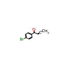 C=C=CC(=O)c1ccc(Br)cc1